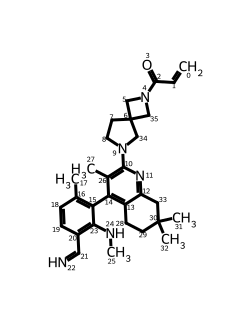 C=CC(=O)N1CC2(CCN(c3nc4c(c(-c5c(C)ccc(C=N)c5NC)c3C)CCC(C)(C)C4)C2)C1